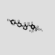 CCc1cnc(N2CCC(N3CCCC(Nc4cc(C)c(S(C)(=O)=O)cc4F)C3=O)CC2=O)nc1